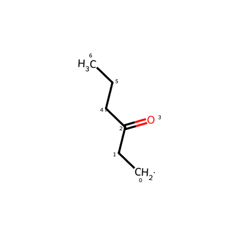 [CH2]CC(=O)[CH]CC